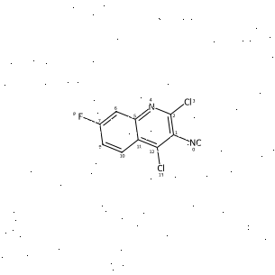 [C-]#[N+]c1c(Cl)nc2cc(F)ccc2c1Cl